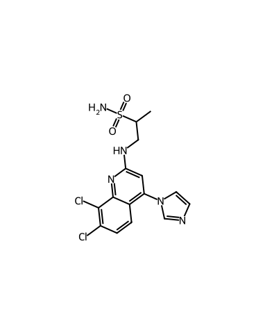 CC(CNc1cc(-n2ccnc2)c2ccc(Cl)c(Cl)c2n1)S(N)(=O)=O